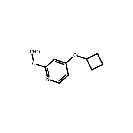 O=COc1cc(OC2CCC2)ccn1